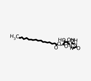 CCCCCCCCCCCCCCCCCC(=O)OC[C@H]1O[C@@H](n2ncc(=O)[nH]c2=O)[C@H](O)[C@@H]1O